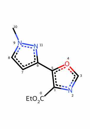 CCOC(=O)c1ncoc1-c1ccn(C)n1